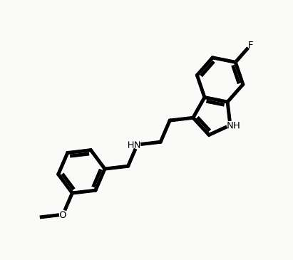 COc1cccc(CNCCc2c[nH]c3cc(F)ccc23)c1